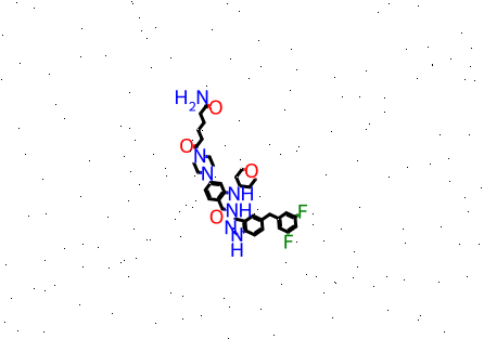 NC(=O)CCCCC(=O)N1CCN(c2ccc(C(=O)Nc3n[nH]c4ccc(Cc5cc(F)cc(F)c5)cc34)c(NC3CCOCC3)c2)CC1